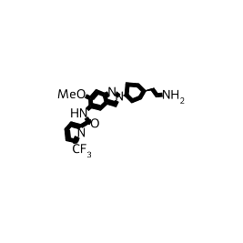 COc1cc2nn([C@H]3CC[C@H](CCN)CC3)cc2cc1NC(=O)c1cccc(C(F)(F)F)n1